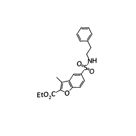 CCOC(=O)c1oc2ccc(S(=O)(=O)NCCc3ccccc3)cc2c1C